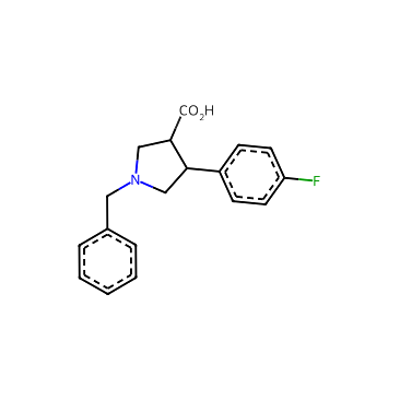 O=C(O)C1CN(Cc2ccccc2)CC1c1ccc(F)cc1